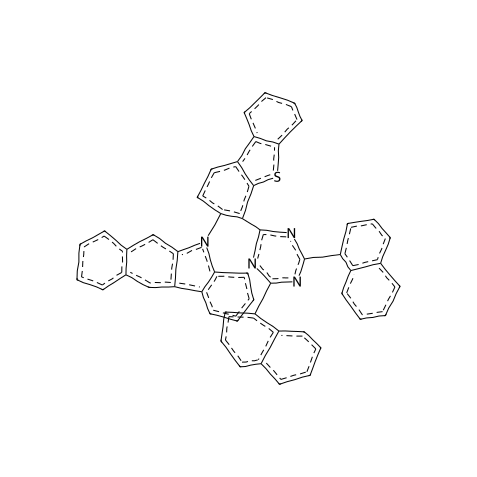 c1ccc2cc3c(cc2c1)c1ccccc1n3-c1ccc2c(sc3ccccc32)c1-c1nc(-c2cccc3ccccc23)nc(-c2cccc3ccccc23)n1